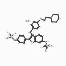 CCCCS(=O)(=O)Oc1ccc(-c2sc3cc(OS(=O)(=O)CCCC)ccc3c2Cc2ccc(OCCN3CCCCC3)cc2)cc1.Cl